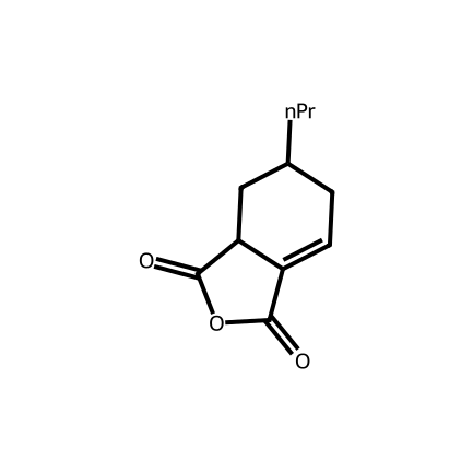 CCCC1CC=C2C(=O)OC(=O)C2C1